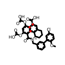 COc1ccc(Cl)cc1-c1cccc(CN(C(=O)c2cc(OC(=O)O)c(OC(=O)O)cc2OC(=O)O)[C@H]2CCCc3ccccc32)c1